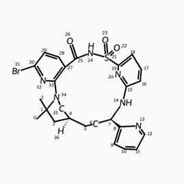 CC1(C)C[C@@H]2CC[C@H](c3ccccn3)Nc3cccc(n3)S(=O)(=O)NC(=O)c3ccc(Br)nc3N1C2